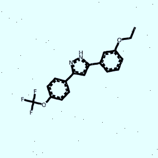 CCOc1cccc(-c2cc(-c3ccc(OC(F)(F)F)cc3)n[nH]2)c1